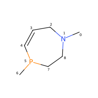 CN1CC=CP(C)CC1